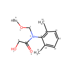 CCCCOCN(C(=O)CO)c1c(C)cccc1C